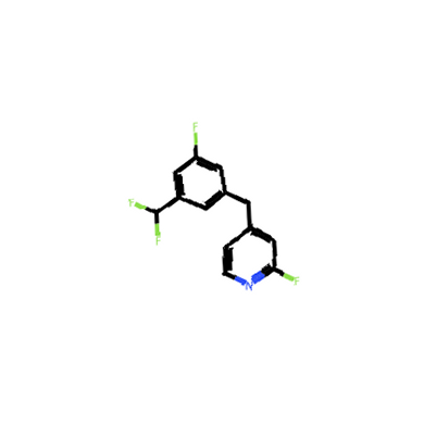 Fc1cc(Cc2ccnc(F)c2)cc(C(F)F)c1